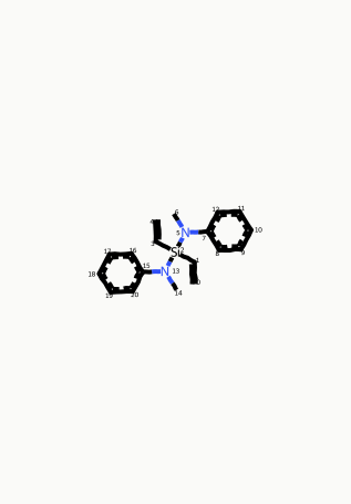 C=C[Si](C=C)(N(C)c1ccccc1)N(C)c1ccccc1